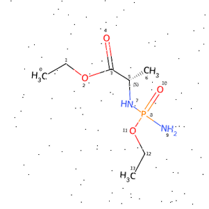 CCOC(=O)[C@H](C)NP(N)(=O)OCC